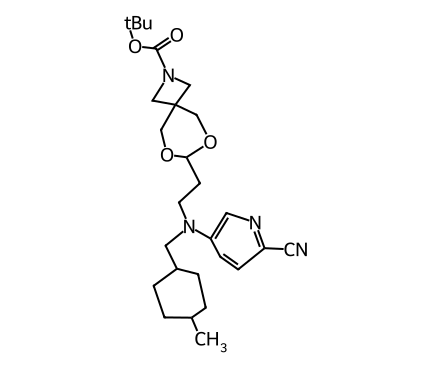 CC1CCC(CN(CCC2OCC3(CO2)CN(C(=O)OC(C)(C)C)C3)c2ccc(C#N)nc2)CC1